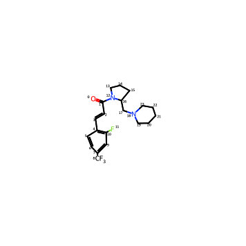 O=C(C=Cc1ccc(C(F)(F)F)cc1F)N1CCCC1CN1CCCCC1